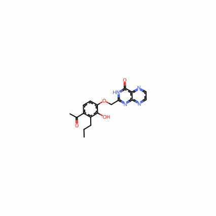 CCCc1c(C(C)=O)ccc(OCc2nc3nccnc3c(=O)[nH]2)c1O